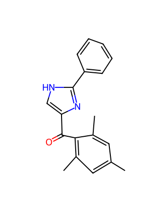 Cc1cc(C)c(C(=O)c2c[nH]c(-c3ccccc3)n2)c(C)c1